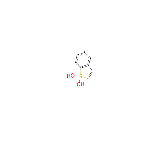 OS1(O)C=Cc2c[c]ccc21